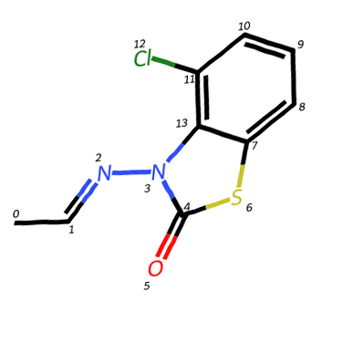 CC=Nn1c(=O)sc2cccc(Cl)c21